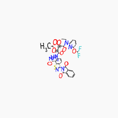 CC(=O)O[C@@H](C(=O)Nc1ccc2c(N3C(=O)c4ccccc4C3=O)nsc2c1C(N)=O)[C@H]1OCCN(c2cccc(OC(F)F)n2)C1=O